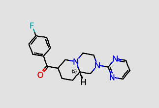 O=C(c1ccc(F)cc1)C1CC[C@H]2CN(c3ncccn3)CCN2C1